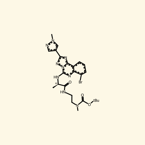 C[C@@H](Nc1nc2c(Br)cccc2c2nc(-c3cnn(C)c3)nn12)C(=O)NCCN(C)C(=O)OC(C)(C)C